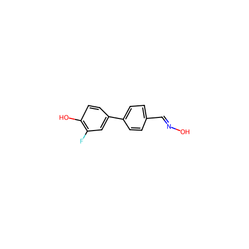 ON=Cc1ccc(-c2ccc(O)c(F)c2)cc1